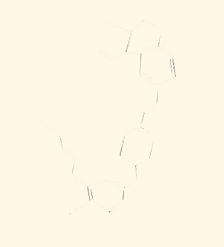 COCCOc1cc(CC2CCN(CCc3ccc4c(c3)C(C=O)C(O)CO4)CC2)ccc1Br